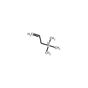 C=CC[PH](C)(C)C